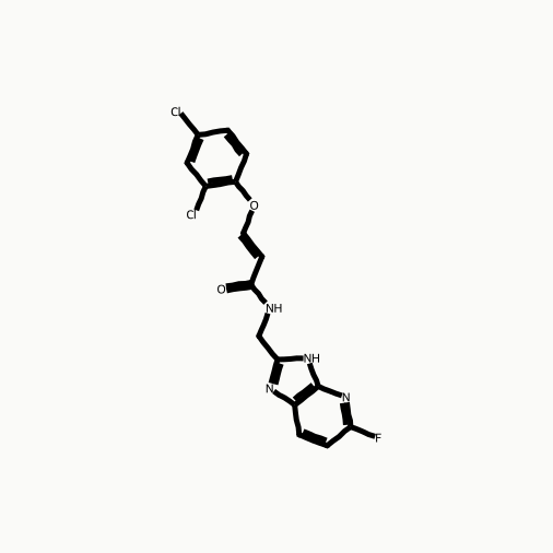 O=C(C=COc1ccc(Cl)cc1Cl)NCc1nc2ccc(F)nc2[nH]1